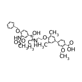 CCOc1cc(-c2cc(C)c(OCCN[C@@H](C)[C@@H](O)c3ccc(OCc4ccccc4)c(NS(C)(=O)=O)c3)c(C)c2)ccc1C(=O)O